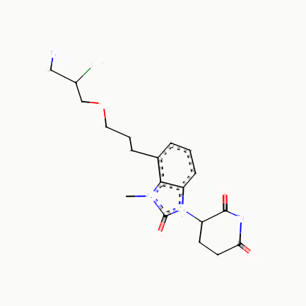 Cn1c(=O)n(C2CCC(=O)NC2=O)c2cccc(CCCOCC(F)CN)c21